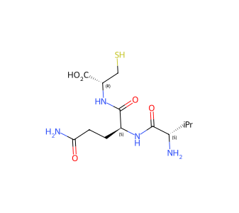 CC(C)[C@H](N)C(=O)N[C@@H](CCC(N)=O)C(=O)N[C@@H](CS)C(=O)O